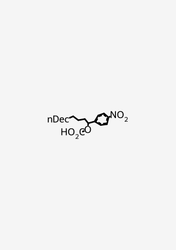 CCCCCCCCCCCCCC(OC(=O)O)c1ccc([N+](=O)[O-])cc1